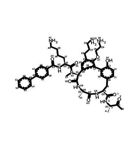 CC(=O)[C@H](C)NC(=O)[C@@H]1Cc2ccc(O)c(c2)-c2cc(cc(CCCN)c2OCCN)[C@H](N(C)C(=O)[C@H](CCCCN)NC(=O)c2ccc(-c3ccccc3)cc2)C(=O)N[C@@H](C)C(=O)N1